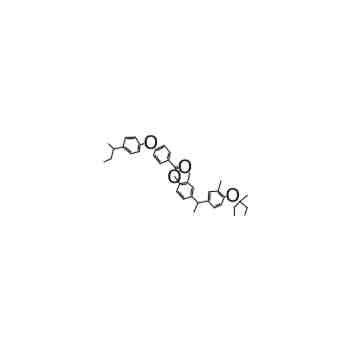 CCC(C)c1ccc(Oc2ccc(C(=O)Oc3ccc(C(C)c4ccc(OC(C)(CC)CC)c(C)c4)cc3C)cc2)cc1